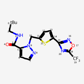 CC(C)(C)CNC(=O)c1ccnn1Cc1ccc(-c2noc(C(F)(F)F)n2)s1